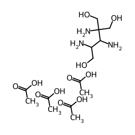 CC(=O)O.CC(=O)O.CC(=O)O.CC(=O)O.NC(CO)C(N)C(N)(CO)CO